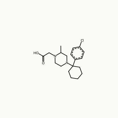 CC1CN(C2(c3ccc(Cl)cc3)CCCCC2)CCN1CC(=O)O